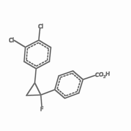 O=C(O)c1ccc(C2(F)CC2c2ccc(Cl)c(Cl)c2)cc1